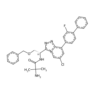 CC(C)(N)C(=O)N[C@H](COCc1ccccc1)c1nnc2c(-c3ccc(-c4ccccc4)c(F)c3)cc(Cl)cn12